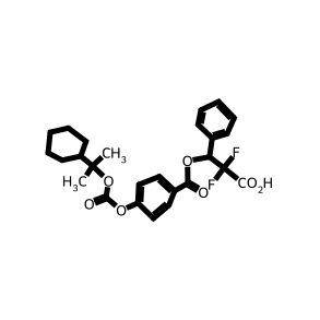 CC(C)(OC(=O)Oc1ccc(C(=O)OC(c2ccccc2)C(F)(F)C(=O)O)cc1)C1CCCCC1